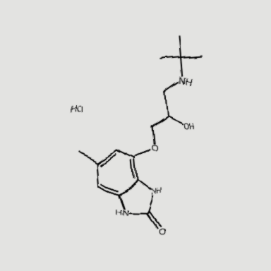 Cc1cc(OCC(O)CNC(C)(C)C)c2[nH]c(=O)[nH]c2c1.Cl